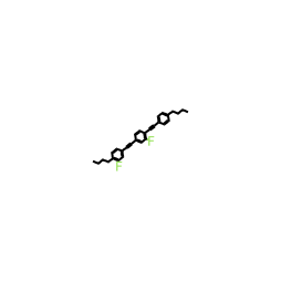 CCCCc1ccc(C#Cc2ccc(C#Cc3ccc(CCCC)c(F)c3)cc2F)cc1